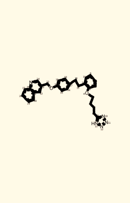 c1ccc(OCCCCc2nnn[nH]2)c(CCc2ccc(OCc3cnc4ccccc4c3)cc2)c1